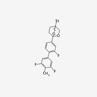 CCC12CCC(c3ccc(-c4cc(F)c(C)c(F)c4)c(F)c3)(OC1)OC2